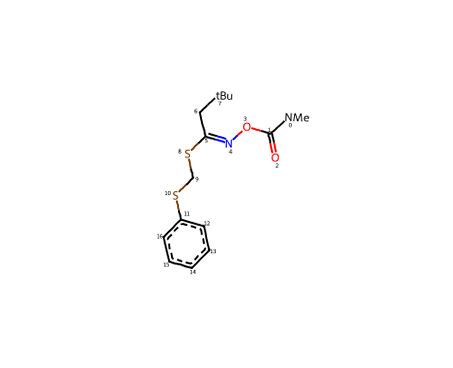 CNC(=O)ON=C(CC(C)(C)C)SCSc1ccccc1